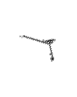 COCCOCCOCCOCCOCCOCCC(=O)Oc1ccc2c(c1)C[C@@H](CCCCCCCCC[S+]([O-])CCCC(F)(F)C(F)(F)F)[C@@H]1[C@@H]2CC[C@]2(C)[C@@H](O)CC[C@@H]12